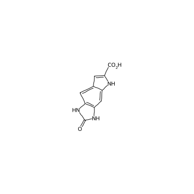 O=C(O)c1cc2cc3[nH]c(=O)[nH]c3cc2[nH]1